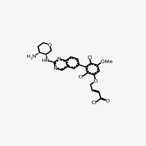 COc1cc(OC/C=C/C(=O)Cl)c(Cl)c(-c2ccc3nc(N[C@@H]4COCC[C@@H]4N)ncc3c2)c1Cl